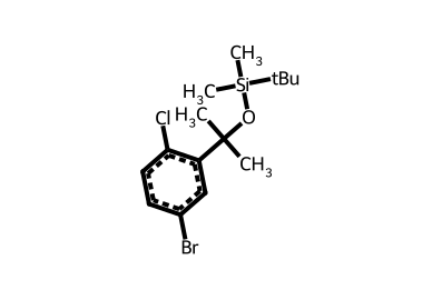 CC(C)(O[Si](C)(C)C(C)(C)C)c1cc(Br)ccc1Cl